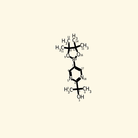 CC(C)(O)c1ncc(B2OC(C)(C)C(C)(C)O2)cn1